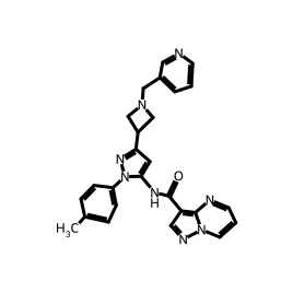 Cc1ccc(-n2nc(C3CN(Cc4cccnc4)C3)cc2NC(=O)c2cnn3cccnc23)cc1